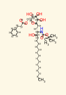 CCCCCCCCCCCCCCC[C@@H](O)[C@H](CC[C@H]1O[C@H](COC(=O)CCc2ccccc2)[C@H](O)[C@H](O)[C@H]1O)NC(=O)OC(C)(C)C